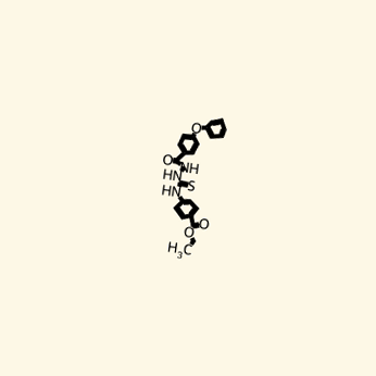 CCOC(=O)c1ccc(NC(=S)NNC(=O)c2ccc(Oc3ccccc3)cc2)cc1